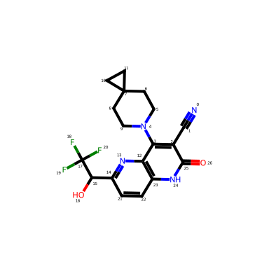 N#Cc1c(N2CCC3(CC2)CC3)c2nc(C(O)C(F)(F)F)ccc2[nH]c1=O